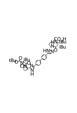 CCC(C)[C@H](C(=O)N1CCC[C@H]1c1ncc(-c2ccc(-c3ccc(-c4c[nH]c([C@@H]5CCCN5C(=O)[C@H](C(C)CC)N(C)C(=O)OC(C)(C)C)n4)cc3)cc2)[nH]1)C(NC(=O)O)C(C)(C)C